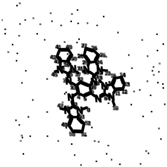 Cn1c(=Nc2cc(N=c3n(C)c4ccccc4n3C)c(N=c3n(C)c4ccccc4n3C)cc2N=c2n(C)c3ccccc3n2C)n(C)c2ccccc21